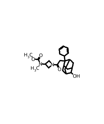 COC(=O)N(C)C1CN(C(=O)CC2(C3C=CC=CC3)C3CC4CC2CC(C3)C4O)C1